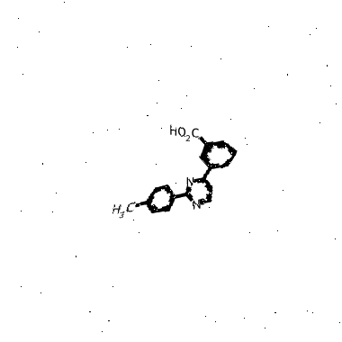 Cc1ccc(-c2nccc(-c3cccc(C(=O)O)c3)n2)cc1